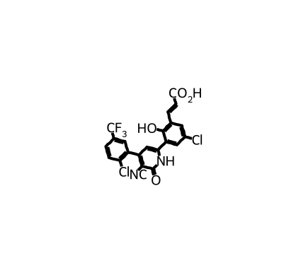 N#Cc1c(-c2cc(C(F)(F)F)ccc2Cl)cc(-c2cc(Cl)cc(C=CC(=O)O)c2O)[nH]c1=O